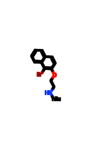 CCCCNCCOc1ccc2ccccc2c1Br